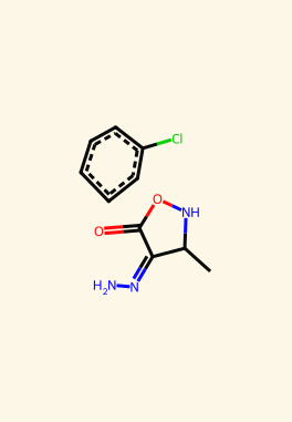 CC1NOC(=O)C1=NN.Clc1ccccc1